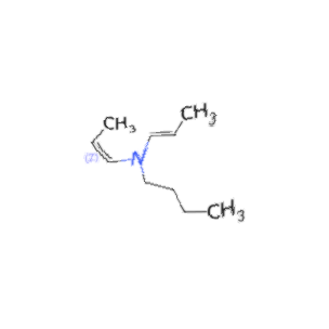 CC=CN(/C=C\C)CCCC